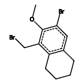 COc1c(Br)cc2c(c1CBr)CCCC2